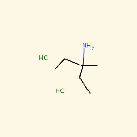 CCC(C)(N)CC.Cl.Cl